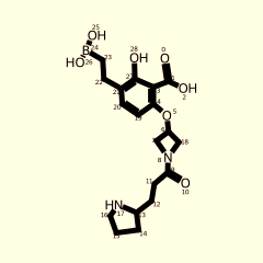 O=C(O)c1c(OC2CN(C(=O)CCC3CCCN3)C2)ccc(CCB(O)O)c1O